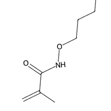 C=C(C)C(=O)NOCCCC